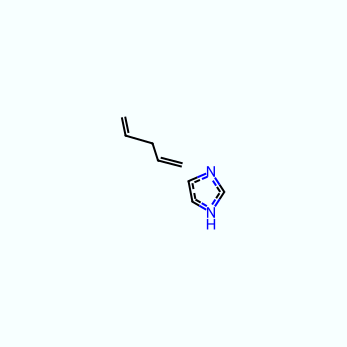 C=CCC=C.c1c[nH]cn1